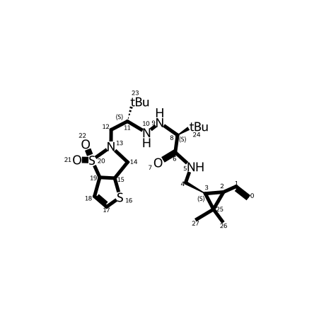 C=CC1[C@H](CNC(=O)[C@@H](NN[C@H](CN2CC3SC=CC3S2(=O)=O)C(C)(C)C)C(C)(C)C)C1(C)C